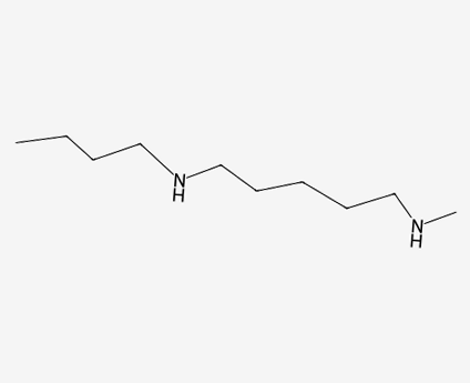 CCCCNCCCCCNC